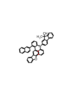 CC1(C)c2ccccc2-c2ccc(N(c3ccccc3)c3cccc(-c4ccc5ccccc5c4)c3-c3ccc4oc5ccccc5c4c3)cc21